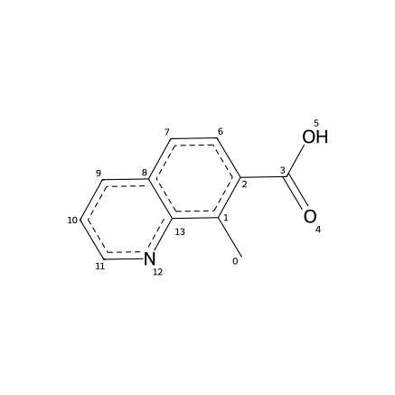 Cc1c(C(=O)O)ccc2cccnc12